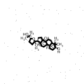 CC(C)(O)[C@H]1CC[C@@](C)([C@H]2CC[C@@]3(C)[C@@H]2CC[C@@H]2[C@@]4(C)CC[C@H](O)C(C)(C)C4CC[C@]23C)O1